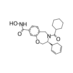 O=C(NO)c1ccc2c(c1)OC[C@H](C1C=CC=CC1)N(C(=O)C1CCCCC1)C2